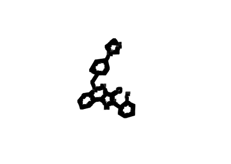 O=c1c2nn(Cc3ccc(-n4ccnc4)cc3)c3ccccc3c-2nn1-c1ccccc1F